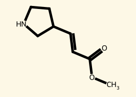 COC(=O)C=CC1CCNC1